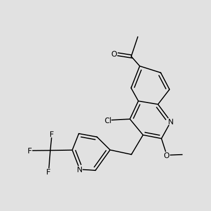 COc1nc2ccc(C(C)=O)cc2c(Cl)c1Cc1ccc(C(F)(F)F)nc1